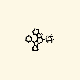 CC1(C)OB(c2cc3c4ccccc4n(-c4ccccc4)c3c3c2oc2ccccc23)OC1(C)C